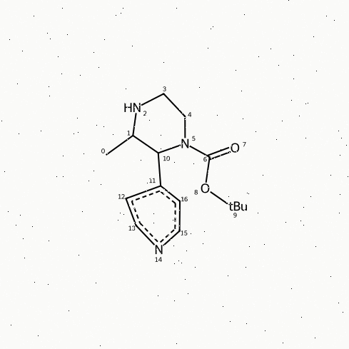 CC1NCCN(C(=O)OC(C)(C)C)C1c1ccncc1